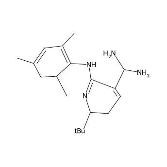 CC1=CC(C)=C(NC2=NC(C(C)(C)C)CC=C2C(N)N)C(C)C1